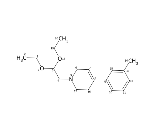 CCOC(CN1CC=C(c2cccc(C)c2)CC1)OCC